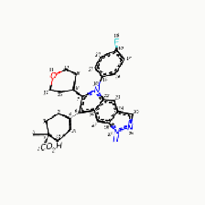 C[C@]1(C(=O)O)CC[C@H](c2c(C3CCOCC3)n(-c3ccc(F)cc3)c3cc4cn[nH]c4cc32)CC1